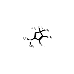 CC1=C(C)C(C)(C)C=[C]1[Ti]([CH3])[CH3].[SiH4]